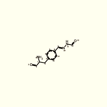 NC(C=O)Cc1ccc(/C=N/NC=O)cc1